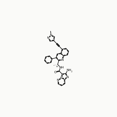 C[C@@H](NC(=O)c1c(N)nc2cccnn12)c1nc2cccc(C#Cc3cnn(C)c3)c2cc1-c1ccccc1